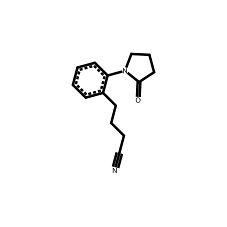 N#CCCCc1ccccc1N1CCCC1=O